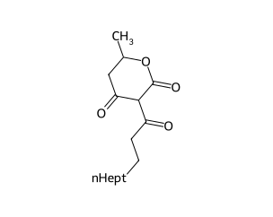 CCCCCCCCCC(=O)C1C(=O)CC(C)OC1=O